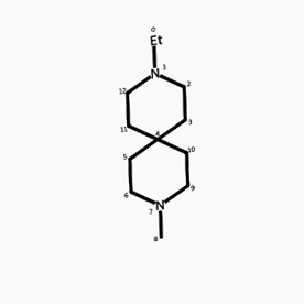 CCN1CCC2(CCN(C)CC2)CC1